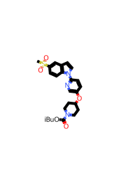 CC(C)COC(=O)N1CCC(Oc2ccc(-n3ccc4cc(S(C)(=O)=O)ccc43)nc2)CC1